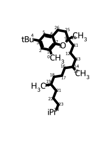 Cc1cc(C(C)(C)C)cc2c1OC(C)(CCCC(C)CCCC(C)CCCC(C)C)CC2